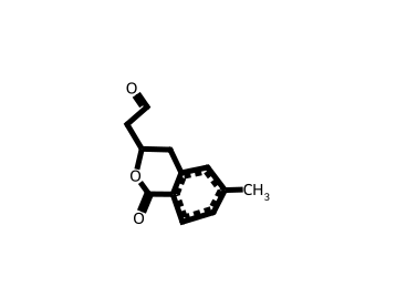 Cc1ccc2c(c1)CC(CC=O)OC2=O